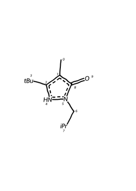 Cc1c(C(C)(C)C)[nH]n(CC(C)C)c1=O